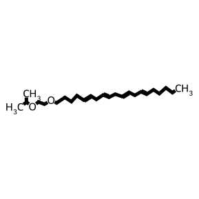 CCCCCC=CCC=CCC=CCC=CCCCCOCCOC(C)C